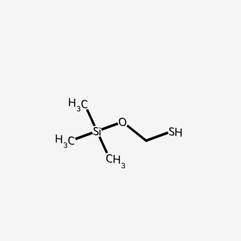 C[Si](C)(C)OCS